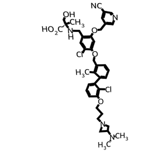 Cc1c(COc2cc(OCc3cncc(C#N)c3)c(CN[C@](C)(CO)C(=O)O)cc2Cl)cccc1-c1cccc(OCCCN2CC(N(C)C)C2)c1Cl